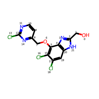 OCc1nc2c(OCc3ccnc(Cl)n3)c(Cl)c(Cl)cc2[nH]1